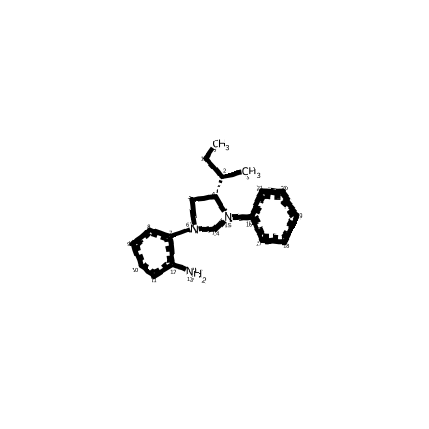 CCC(C)[C@H]1CN(c2ccccc2N)CN1c1ccccc1